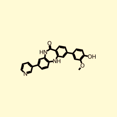 COc1cc(-c2ccc3c(c2)Nc2ccc(-c4cccnc4)cc2NC3=O)ccc1O